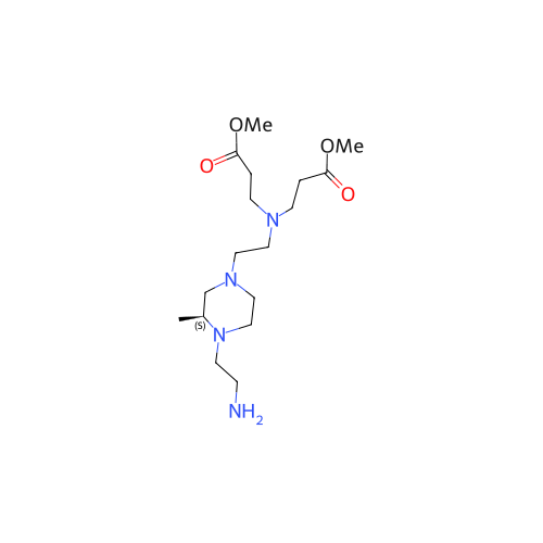 COC(=O)CCN(CCC(=O)OC)CCN1CCN(CCN)[C@@H](C)C1